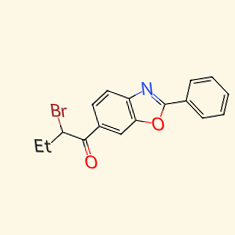 CCC(Br)C(=O)c1ccc2nc(-c3ccccc3)oc2c1